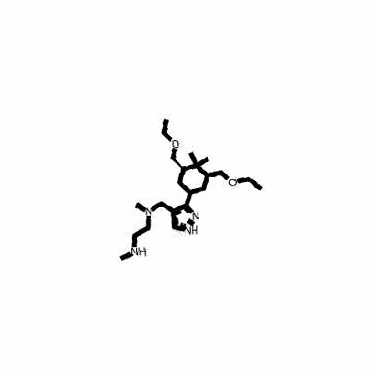 CCOCC1CC(c2n[nH]cc2CN(C)CCNC)C[C@@H](COCC)C1(C)C